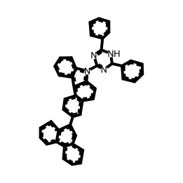 c1ccc(C2=NC(n3c4ccccc4c4c5ccc(-c6cc7ccccc7c7ccccc67)cc5ccc43)=NC(c3ccccc3)N2)cc1